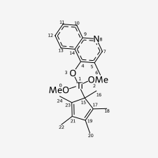 C[O][Ti]([O]C)([O]c1c(C)cnc2ccccc12)[C]1(C)C(C)=C(C)C(C)=C1C